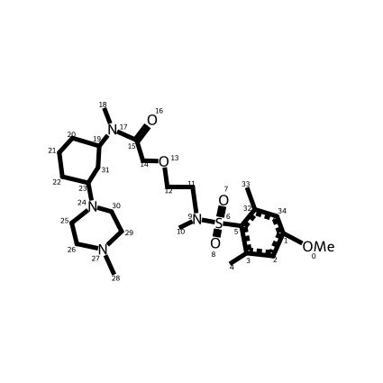 COc1cc(C)c(S(=O)(=O)N(C)CCOCC(=O)N(C)C2CCCC(N3CCN(C)CC3)C2)c(C)c1